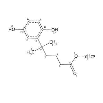 CCCCCCOC(=O)CCCC(C)(C)c1cc(O)ccc1O